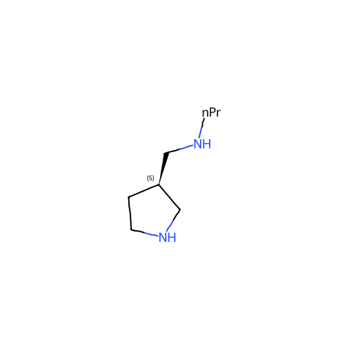 CCCNC[C@@H]1CCNC1